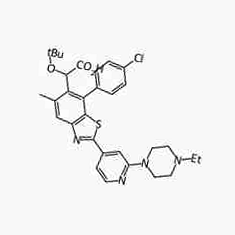 CCN1CCN(c2cc(-c3nc4cc(C)c(C(OC(C)(C)C)C(=O)O)c(-c5ccc(Cl)cc5)c4s3)ccn2)CC1